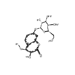 CC(C)Oc1c(O)c(=O)oc2cc(O[C@@H]3O[C@H](CO)[C@H](O)[C@H](O)[C@H]3O)ccc12